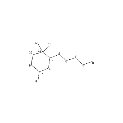 C[CH]CCCC1CC(C)CCC1(C)C